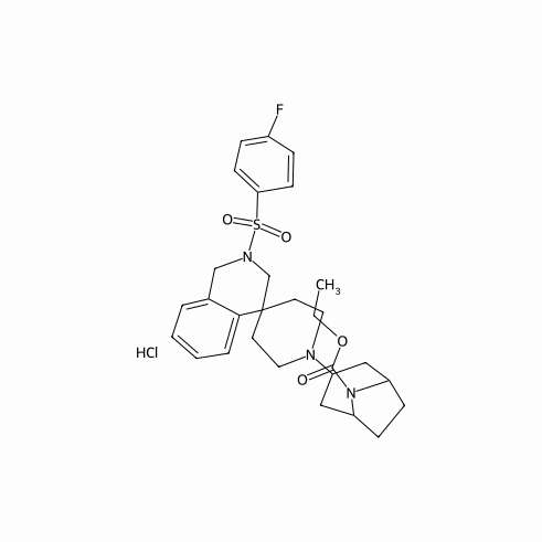 CCOC(=O)N1C2CCC1CC(N1CCC3(CC1)CN(S(=O)(=O)c1ccc(F)cc1)Cc1ccccc13)C2.Cl